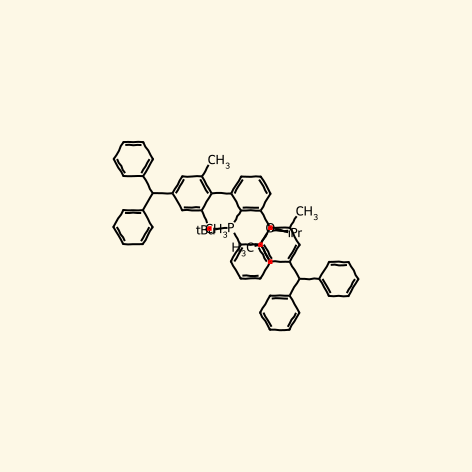 Cc1cc(C(c2ccccc2)c2ccccc2)cc(C)c1-c1cccc(-c2c(C)cc(C(c3ccccc3)c3ccccc3)cc2C)c1P(c1ccccc1OC(C)C)C(C)(C)C